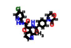 Cc1nccc2oc(C(=O)Nc3ccc(Cl)cn3)c(NC(=O)[C@H]3CC[C@H](N4CCOCC4=O)CC3)c12